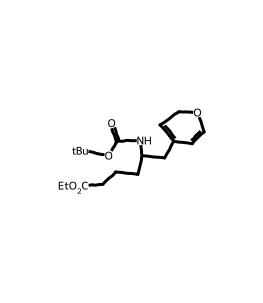 CCOC(=O)CCCC(CC1=CCOC=C1)NC(=O)OC(C)(C)C